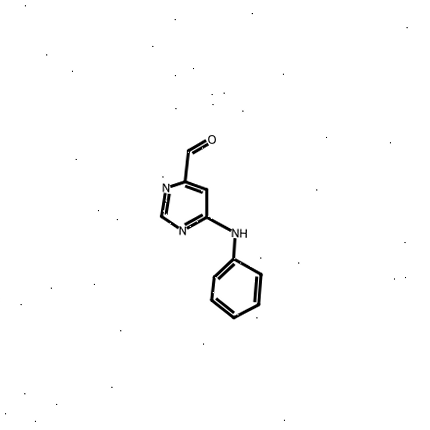 O=Cc1cc(Nc2ccccc2)ncn1